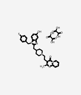 Cc1nc2ccccn2c(=O)c1CCN1CCC(Cc2nc3cc(O)ccc3n2Cc2ccc(F)cc2)CC1.O=C(O)C(=O)O.O=C(O)C(=O)O